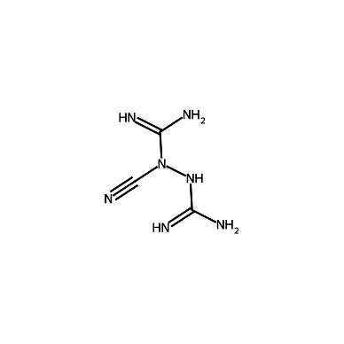 N#CN(NC(=N)N)C(=N)N